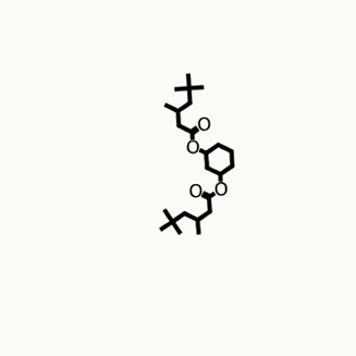 CC(CC(=O)OC1CCCC(OC(=O)CC(C)CC(C)(C)C)C1)CC(C)(C)C